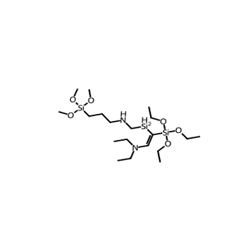 CCO[Si](OCC)(OCC)C(=CN(CC)CC)[SiH2]CNCCC[Si](OC)(OC)OC